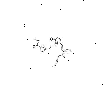 CCC#CC[C@H](C)[C@H](O)/C=C/C1CCC(=O)N1CCCc1ccc(C(=O)OC)s1